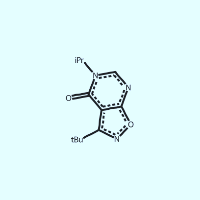 CC(C)n1cnc2onc(C(C)(C)C)c2c1=O